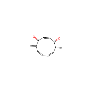 C=C1/C=C\C=C/C(=C)C(=O)/C=C\C1=O